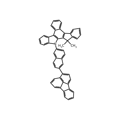 CC1(C)c2ccccc2-c2c1c1c(c3ccccc23)c2ccccc2n1-c1ccc2cc(-c3ccc4c5c(cccc35)-c3ccccc3-4)ccc2c1